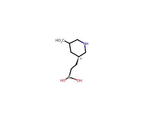 O=C(O)C1CNC[C@@H](CCB(O)O)C1